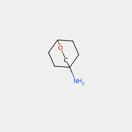 NC12CCC(CC1)OC2